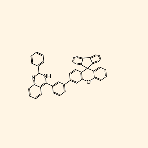 c1ccc(C2N=c3ccccc3=C(c3cccc(-c4ccc5c(c4)Oc4ccccc4C54c5ccccc5-c5ccccc54)c3)N2)cc1